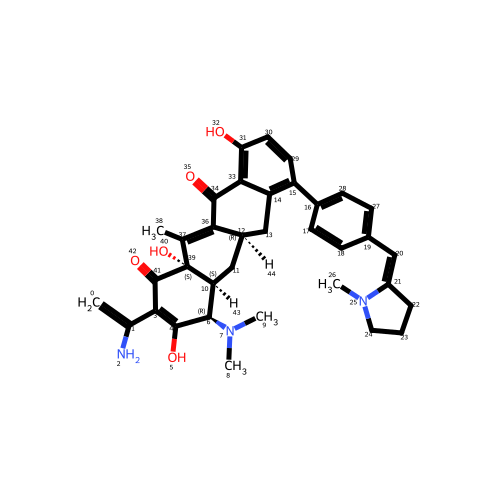 C=C(N)C1=C(O)[C@H](N(C)C)[C@@H]2C[C@@H]3Cc4c(-c5ccc(C=C6CCCN6C)cc5)ccc(O)c4C(=O)C3=C(C)[C@]2(O)C1=O